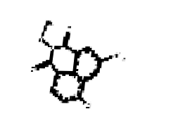 CC(C)(C)ON1C(=O)c2ccc(Cl)c3cc([N+](=O)[O-])cc(c23)C1=O